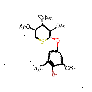 CC(=O)O[C@@H]1[C@@H](OC(C)=O)[C@@H](Oc2cc(C)c(Br)c(C)c2)SC[C@H]1OC(C)=O